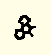 Cc1c(C)c2nccnc2c2ncccc12